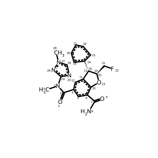 CN(C(=O)c1cc(C(N)=O)c2c(c1)[C@H](c1ccccc1)[C@@H](CF)O2)c1ncn(C)n1